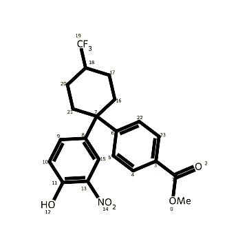 COC(=O)c1ccc(C2(c3ccc(O)c([N+](=O)[O-])c3)CCC(C(F)(F)F)CC2)cc1